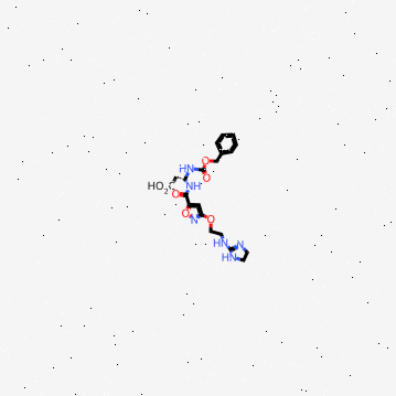 O=C(O)C[C@H](NC(=O)OCc1ccccc1)NC(=O)c1cc(OCCNC2=NCCN2)no1